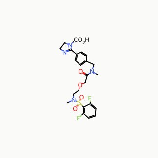 CN(Cc1ccc(C2=NCCN2C(=O)O)cc1)C(=O)COCCN(C)S(=O)(=O)c1c(F)cccc1F